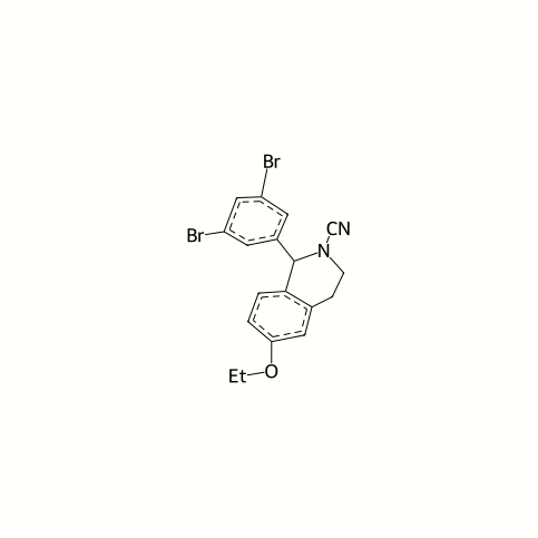 CCOc1ccc2c(c1)CCN(C#N)C2c1cc(Br)cc(Br)c1